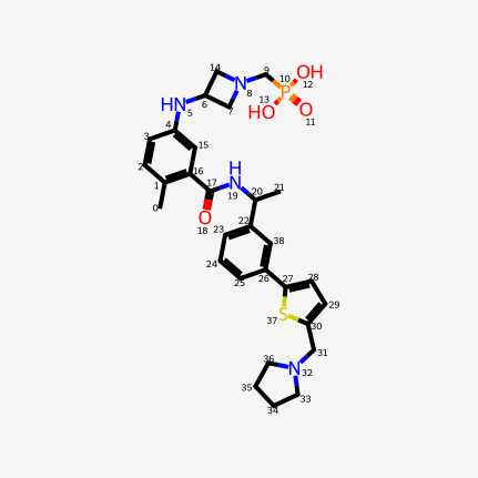 Cc1ccc(NC2CN(CP(=O)(O)O)C2)cc1C(=O)NC(C)c1cccc(-c2ccc(CN3CCCC3)s2)c1